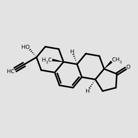 C#C[C@@]1(O)CC[C@@]2(C)C(=CC=C3[C@@H]2CC[C@]2(C)C(=O)CC[C@@H]32)C1